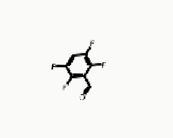 O=Cc1c(F)c(F)cc(F)c1F